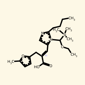 CCCCc1ncc(/C=C(\Cc2ccc(C)o2)C(=O)O)n1C(OCC)[Si](C)(C)C